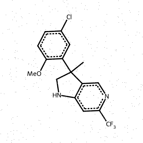 COc1ccc(Cl)cc1C1(C)CNc2cc(C(F)(F)F)ncc21